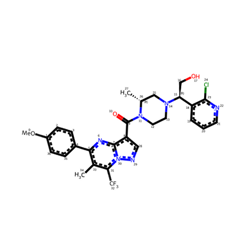 COc1ccc(-c2nc3c(C(=O)N4CCN([C@@H](CO)c5cccnc5Cl)C[C@H]4C)cnn3c(C(F)(F)F)c2C)cc1